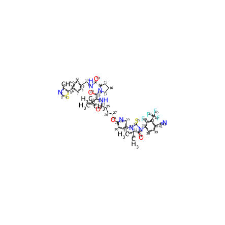 Cc1ncsc1-c1ccc(CNC(=O)[C@@H]2CCCN2C(=O)C(NC(=O)CCCOc2ccc(N3C(=S)N(c4ccc(C#N)c(C(F)(F)F)c4F)C(=O)C3(C)C)cn2)C(C)(C)C)cc1